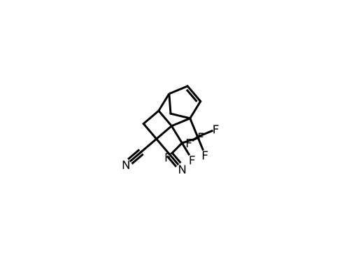 N#CC1(C#N)CC2C3C=CC(C(F)(F)F)(C3)C21C(F)(F)F